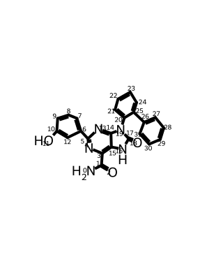 NC(=O)c1nc(-c2cccc(O)c2)nc2c1[nH]c(=O)n2-c1ccccc1-c1ccccc1